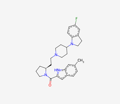 Cc1ccc2cc(C(=O)N3CCC[C@H]3CCN3CCC(N4CCc5cc(F)ccc54)CC3)[nH]c2c1